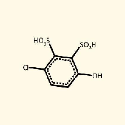 O=S(=O)(O)c1c(O)ccc(Cl)c1S(=O)(=O)O